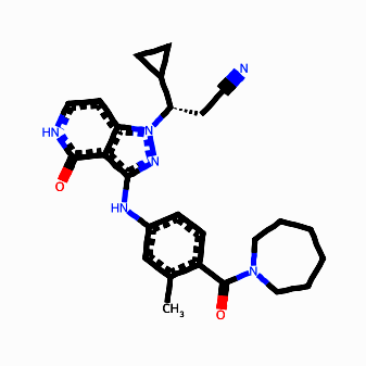 Cc1cc(Nc2nn([C@@H](CC#N)C3CC3)c3cc[nH]c(=O)c23)ccc1C(=O)N1CCCCCC1